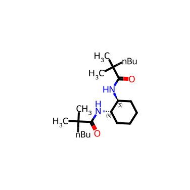 CCCCC(C)(C)C(=O)N[C@H]1CCCC[C@@H]1NC(=O)C(C)(C)CCCC